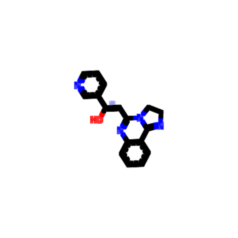 O/C(=C\C1=Nc2ccccc2C2=NCCN12)c1cccnc1